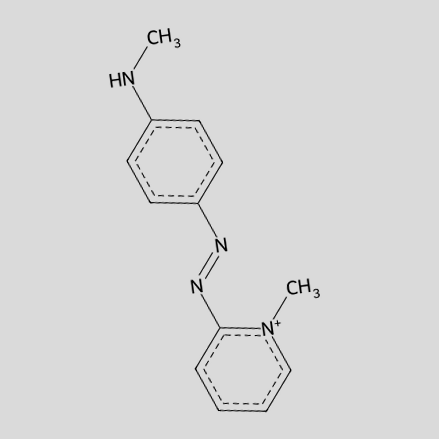 CNc1ccc(/N=N/c2cccc[n+]2C)cc1